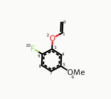 C=COc1cc(OC)ccc1F